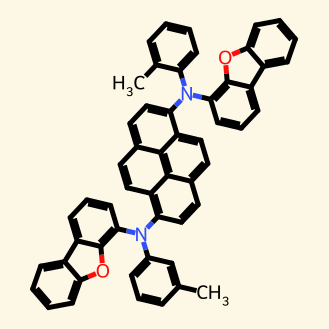 Cc1cccc(N(c2ccc3ccc4c(N(c5ccccc5C)c5cccc6c5oc5ccccc56)ccc5ccc2c3c54)c2cccc3c2oc2ccccc23)c1